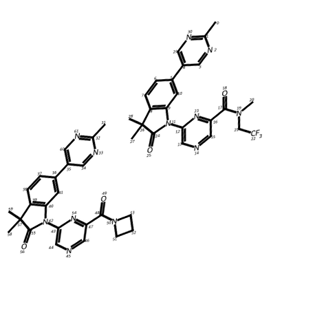 Cc1ncc(-c2ccc3c(c2)N(c2cncc(C(=O)N(C)CC(F)(F)F)n2)C(=O)C3(C)C)cn1.Cc1ncc(-c2ccc3c(c2)N(c2cncc(C(=O)N4CCC4)n2)C(=O)C3(C)C)cn1